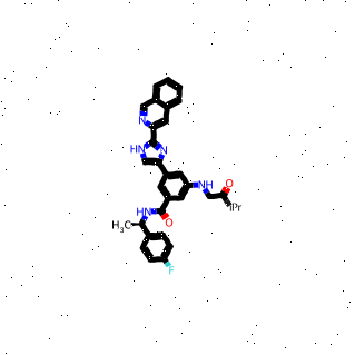 CC(C)C(=O)CNc1cc(C(=O)N[C@H](C)c2ccc(F)cc2)cc(-c2c[nH]c(-c3cc4ccccc4cn3)n2)c1